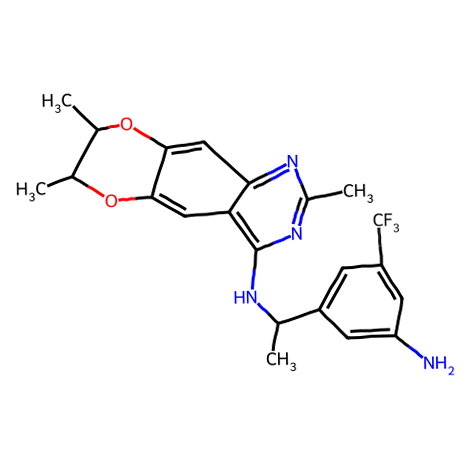 Cc1nc(NC(C)c2cc(N)cc(C(F)(F)F)c2)c2cc3c(cc2n1)OC(C)C(C)O3